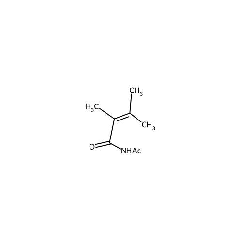 CC(=O)NC(=O)C(C)=C(C)C